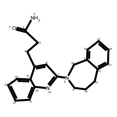 NC(=O)CCc1cc(N2CCCc3ccccc3C2)nc2ccccc12